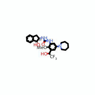 COc1c(NC(=O)N[C@@H]2Cc3ccccc3[C@H]2O)cc(N2CCCCCC2)cc1C(O)C(F)(F)F